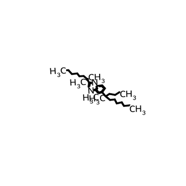 CCCCCCCC(C)(CCCC)c1ccc2nc(C(C)(C)CCCCCC)cnc2c1C